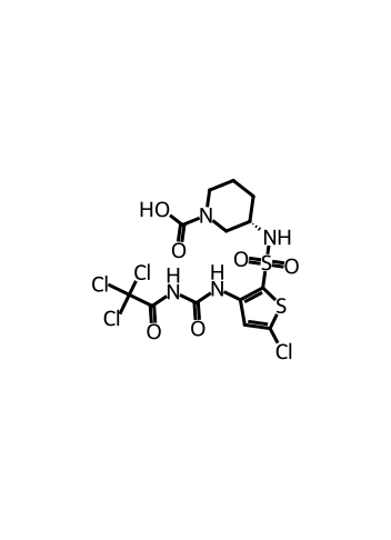 O=C(NC(=O)C(Cl)(Cl)Cl)Nc1cc(Cl)sc1S(=O)(=O)N[C@H]1CCCN(C(=O)O)C1